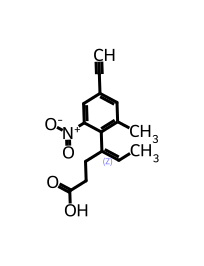 C#Cc1cc(C)c(/C(=C\C)CCC(=O)O)c([N+](=O)[O-])c1